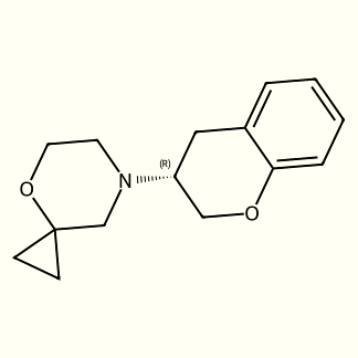 c1ccc2c(c1)C[C@@H](N1CCOC3(CC3)C1)CO2